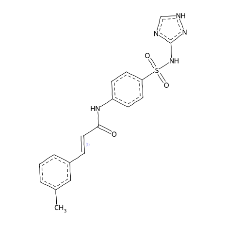 Cc1cccc(/C=C/C(=O)Nc2ccc(S(=O)(=O)Nc3nc[nH]n3)cc2)c1